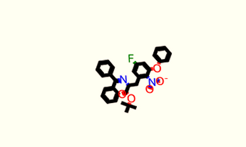 CC(C)(C)OC(=O)C(Cc1cc(F)cc(Oc2ccccc2)c1[N+](=O)[O-])N=C(c1ccccc1)c1ccccc1